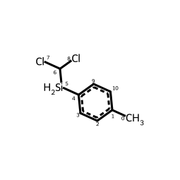 Cc1ccc([SiH2]C(Cl)Cl)cc1